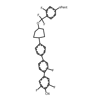 CCCCCc1ccc(C(F)(F)OC2CCC(c3ccc(-c4ccc(-c5cc(F)c(C#N)c(F)c5)c(F)c4)cc3)CC2)c(F)c1